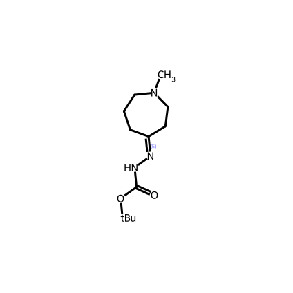 CN1CCC/C(=N\NC(=O)OC(C)(C)C)CC1